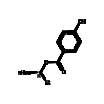 CCCCCC[C@@H](CC)OC(=O)c1ccc(O)cc1